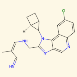 C/C(C=N)=C/NCc1nc2cnc3ccc(Cl)cc3c2n1C1C2CC[C@@H]21